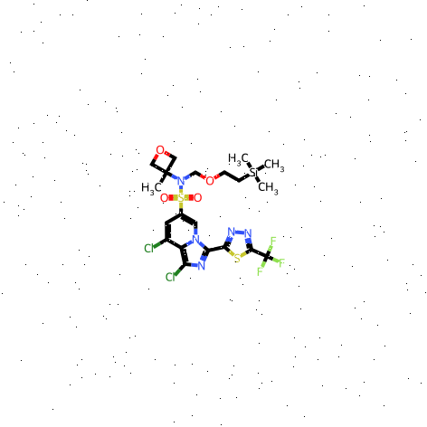 CC1(N(COCC[Si](C)(C)C)S(=O)(=O)c2cc(Cl)c3c(Cl)nc(-c4nnc(C(F)(F)F)s4)n3c2)COC1